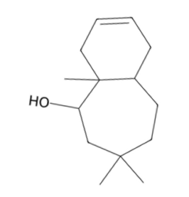 CC1(C)CCC2CC=CCC2(C)C(O)C1